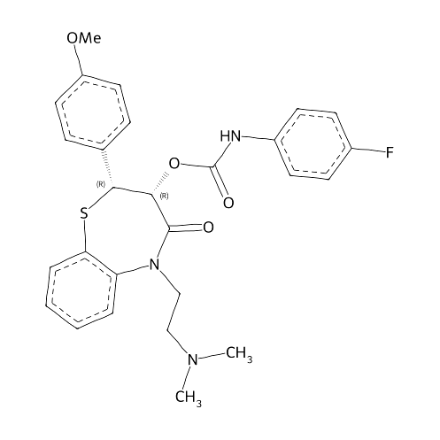 COc1ccc([C@H]2Sc3ccccc3N(CCN(C)C)C(=O)[C@H]2OC(=O)Nc2ccc(F)cc2)cc1